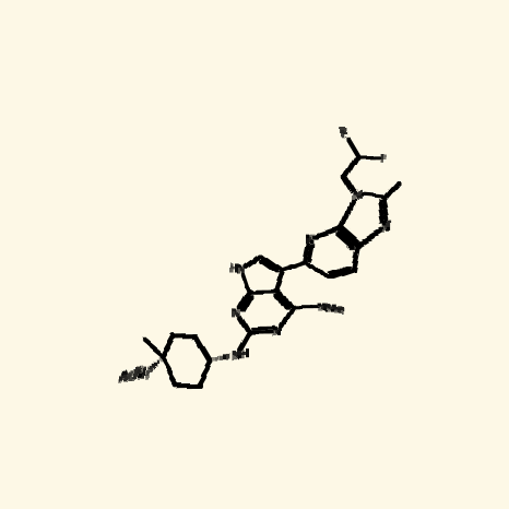 CNc1nc(N[C@H]2CC[C@@](C)(NC(C)=O)CC2)nc2[nH]cc(-c3ccc4nc(C)n(CC(F)F)c4n3)c12